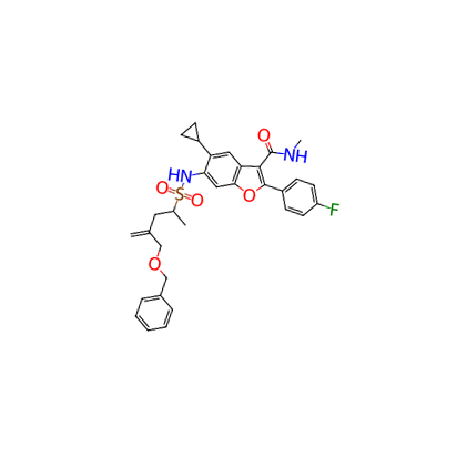 C=C(COCc1ccccc1)CC(C)S(=O)(=O)Nc1cc2oc(-c3ccc(F)cc3)c(C(=O)NC)c2cc1C1CC1